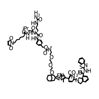 CCC1(Cn2ncc(-c3ccc(N4CCc5cccc(C(=O)Nc6nc7ccccc7s6)c5C4)nc3C(=O)O)c2C)CC2CCCC(OCCOCCOCCN(C)C(=O)OCc3ccc(NC(=O)[C@H](CCCNC(N)=O)NC(=O)[C@@H](NC(=O)CCCCCN4C(=O)C=CC4=O)C(C)C)cc3)(C2)C1